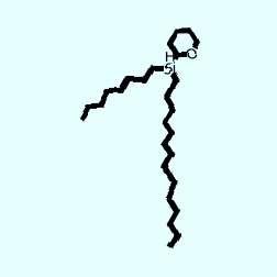 CCCCCCCCCCCCCC[SiH](CCCCCCCC)C1CCCCO1